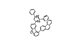 c1ccc(-c2cc(-c3ccc4oc5cccc(-c6ccc7c(ccc8ccccc87)c6)c5c4c3)nc(-c3ccccc3)n2)cc1